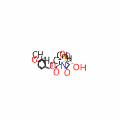 COc1ccc(COC(=O)[C@@H]2N3C(=O)[C@@H](CO)[C@H]3S(=O)(=O)C2(C)C)cc1